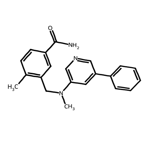 Cc1ccc(C(N)=O)cc1CN(C)c1cncc(-c2ccccc2)c1